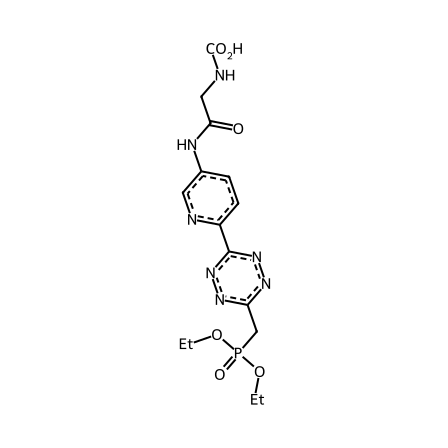 CCOP(=O)(Cc1nnc(-c2ccc(NC(=O)CNC(=O)O)cn2)nn1)OCC